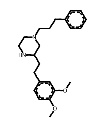 COc1ccc(CCC2CN(CCCc3ccccc3)CCN2)cc1OC